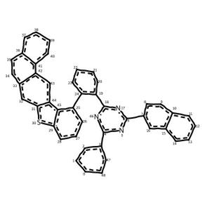 c1ccc(-c2nc(-c3ccc4ccccc4c3)nc(-c3ccccc3-c3cccc4sc5cc6ccc7ccccc7c6cc5c34)n2)cc1